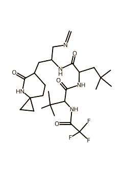 C=NCC(CC1CCC2(CC2)NC1=O)NC(=O)C(CC(C)(C)C)NC(=O)C(NC(=O)C(F)(F)F)C(C)(C)C